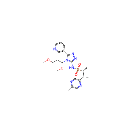 COCCC(OC)n1c(NS(=O)(=O)[C@@H](C)[C@H](C)c2cnc(C)cn2)nnc1-c1cccnc1